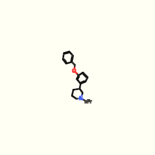 CCCN1CCCC(c2cccc(OCc3ccccc3)c2)C1